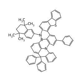 CC1(C)CCC(C)(C)c2cc(N3B4c5cccc6c5N(c5ccccc5C6(c5ccccc5)c5ccccc5)c5cc(-c6ccccc6)cc(c54)-c4c3ccc3c4sc4ccccc43)ccc21